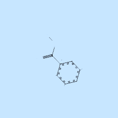 CC(C)O[C](=[Ru])c1ccccc1